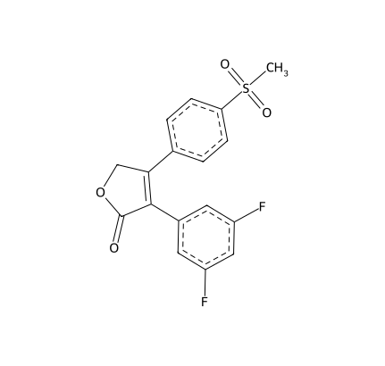 CS(=O)(=O)c1ccc(C2=C(c3cc(F)cc(F)c3)C(=O)OC2)cc1